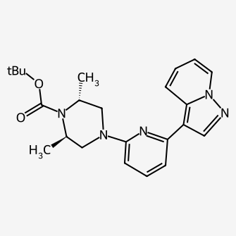 C[C@@H]1CN(c2cccc(-c3cnn4ccccc34)n2)C[C@@H](C)N1C(=O)OC(C)(C)C